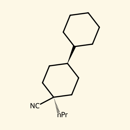 CCC[C@]1(C#N)CC[C@@H](C2CCCCC2)CC1